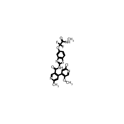 CNC(=O)C(F)(F)Oc1ccc2sc(NC(=O)c3cnc(C)cc3-c3cc(Cl)ncc3OC)nc2c1